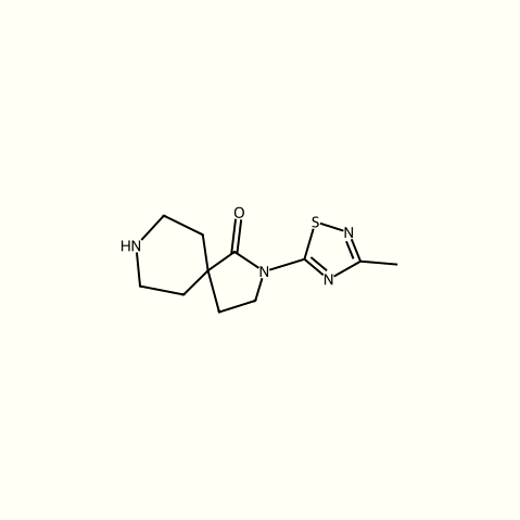 Cc1nsc(N2CCC3(CCNCC3)C2=O)n1